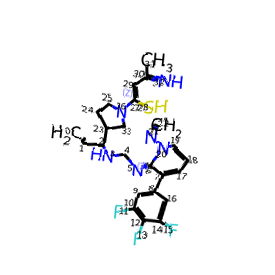 C=CC(NC/N=c1/c(-c2cc(F)c(F)c(F)c2)cccn1N=C)C1CCN(/C(S)=C/C(C)=N)C1